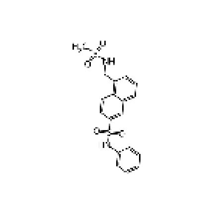 CS(=O)(=O)NCc1cccc2cc(S(=O)(=O)Nc3ccccc3)ccc12